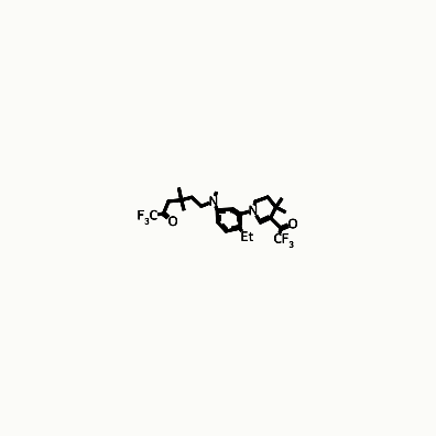 CCc1ccc(N(C)CCC(C)(C)CC(=O)C(F)(F)F)cc1N1C=C(C(=O)C(F)(F)F)C(C)(C)CC1